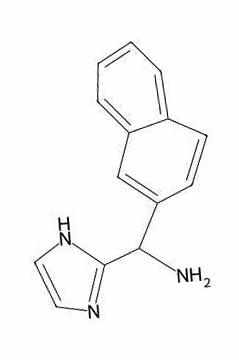 NC(c1ccc2ccccc2c1)c1ncc[nH]1